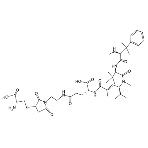 CN[C@H](C(=O)NC(C(=O)N(C)[C@H](/C=C(\C)C(=O)N[C@H](CCC(=O)NCCN1C(=O)CC(SC[C@H](N)C(=O)O)C1=O)C(=O)O)C(C)C)C(C)(C)C)C(C)(C)c1ccccc1